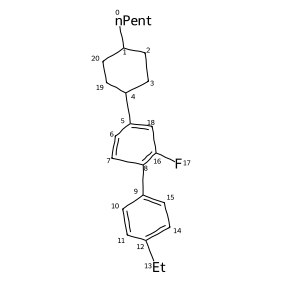 CCCCCC1CCC(c2ccc(-c3ccc(CC)cc3)c(F)c2)CC1